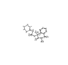 CCN1C(=O)c2ccccc2C(C)(CC(=O)OC2CCCCC2)C1=O